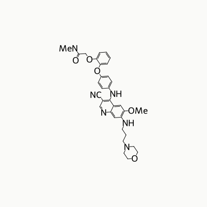 CNC(=O)COc1ccccc1Oc1ccc(Nc2c(C#N)cnc3cc(NCCCN4CCOCC4)c(OC)cc23)cc1